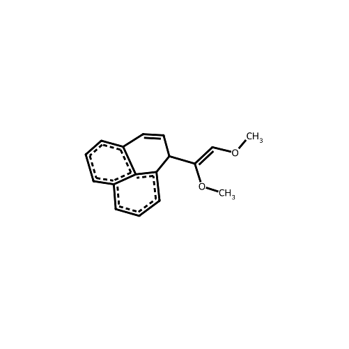 COC=C(OC)C1C=Cc2cccc3cccc1c23